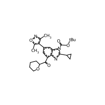 Cc1noc(C)c1-c1cc(C(=O)C2CCCCO2)c2nc(C3CC3)n(C(=O)OC(C)(C)C)c2c1